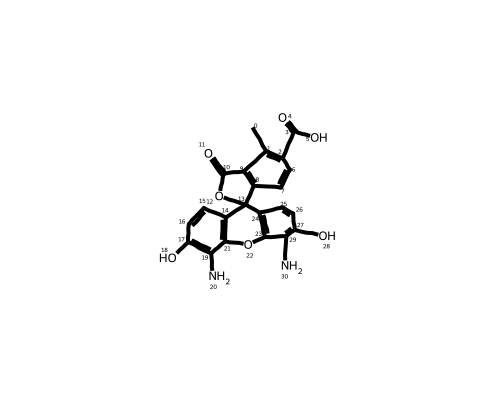 Cc1c(C(=O)O)ccc2c1C(=O)OC21c2ccc(O)c(N)c2Oc2c1ccc(O)c2N